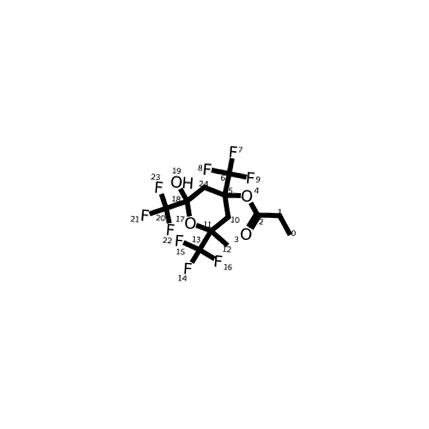 CCC(=O)OC1(C(F)(F)F)CC(C)(C(F)(F)F)OC(O)(C(F)(F)F)C1